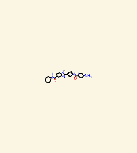 Cn1c(-c2ccc(NC(=O)C3CCC(N)CC3)cc2)nc2c1C=CC(C(=O)NC1CCCCCC1)C2